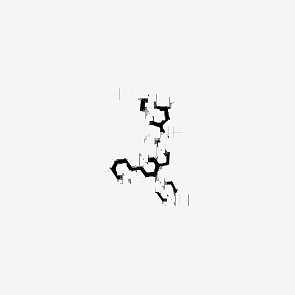 Cc1cn2cc(NC(=O)N3CCc4c(N5CCNCC5)cc(-c5ccccn5)nc43)cc(F)c2n1